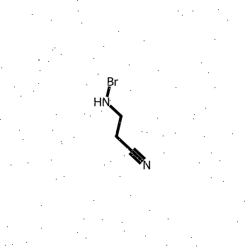 N#CCCNBr